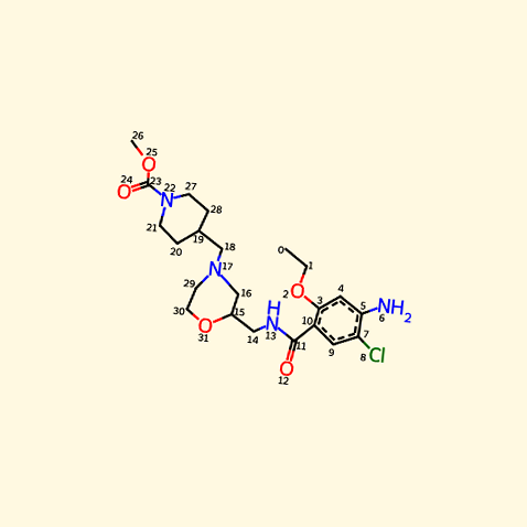 CCOc1cc(N)c(Cl)cc1C(=O)NCC1CN(CC2CCN(C(=O)OC)CC2)CCO1